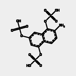 Nc1ccc2c(OS(=O)(=O)O)cc(OS(=O)(=O)O)cc2c1OS(=O)(=O)O